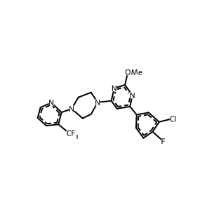 COc1nc(-c2ccc(F)c(Cl)c2)cc(N2CCN(c3ncccc3C(F)(F)F)CC2)n1